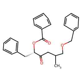 CC(COCc1ccccc1)CC(=O)[C@H](Cc1ccccc1)OC(=O)c1ccccc1